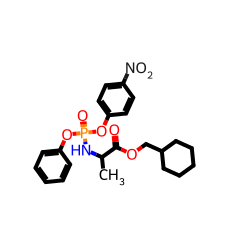 CC(NP(=O)(Oc1ccccc1)Oc1ccc([N+](=O)[O-])cc1)C(=O)OCC1CCCCC1